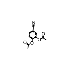 CC(=O)Oc1ccc(C#N)cc1OC(C)=O